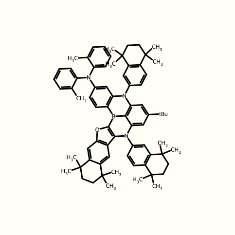 Cc1ccccc1N(c1ccc2c(c1)N(c1ccc3c(c1)C(C)(C)CCC3(C)C)c1cc(C(C)(C)C)cc3c1B2c1oc2cc4c(cc2c1N3c1ccc2c(c1)C(C)(C)CCC2(C)C)C(C)(C)CCC4(C)C)c1ccccc1C